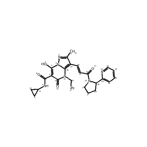 Cc1nn2c(O)c(C(=O)NC3CC3)c(=O)n(CC(C)C)c2c1C=CC(=O)N1CCCC1c1ccccn1